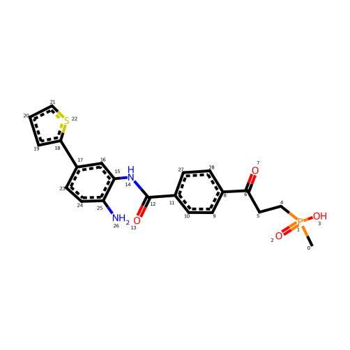 CP(=O)(O)CCC(=O)c1ccc(C(=O)Nc2cc(-c3cccs3)ccc2N)cc1